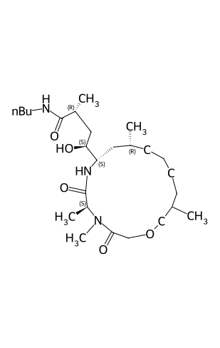 CCCCNC(=O)[C@H](C)C[C@H](O)[C@@H]1C[C@H](C)CCCCC(C)COCC(=O)N(C)[C@@H](C)C(=O)N1